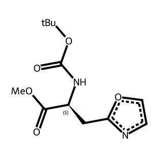 COC(=O)[C@H](Cc1ncco1)NC(=O)OC(C)(C)C